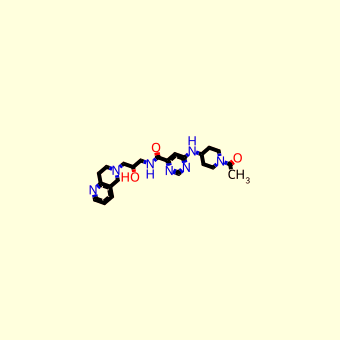 CC(=O)N1CCC(Nc2cc(C(=O)NCC(O)CN3CCc4ncccc4C3)ncn2)CC1